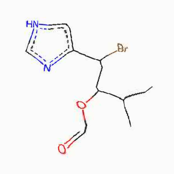 CC(C)C(OC=O)C(Br)c1c[nH]cn1